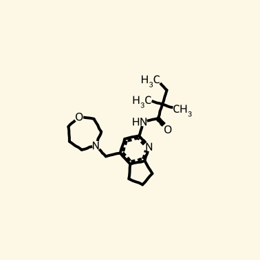 CCC(C)(C)C(=O)Nc1cc(CN2CCCOCC2)c2c(n1)CCC2